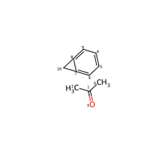 CC(C)=O.c1ccc2c(c1)C2